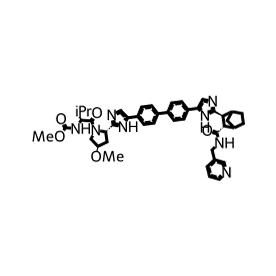 COC(=O)N[C@H](C(=O)N1C[C@@H](OC)C[C@H]1c1ncc(-c2ccc(-c3ccc(-c4cnc([C@H]5C6CCC(C6)[C@@H]5C(=O)NCc5cccnc5)[nH]4)cc3)cc2)[nH]1)C(C)C